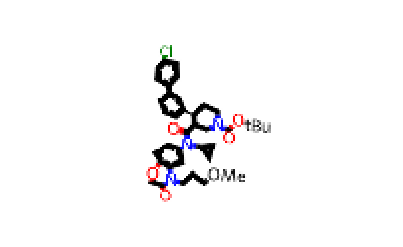 COCCCN1C(=O)COc2ccc(N(C(=O)C3CN(C(=O)OC(C)(C)C)CC[C@@H]3c3cccc(-c4ccc(Cl)cc4)c3)C3CC3)cc21